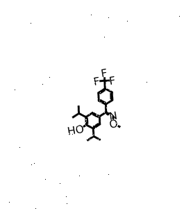 CON=C(c1ccc(C(F)(F)F)cc1)c1cc(C(C)C)c(O)c(C(C)C)c1